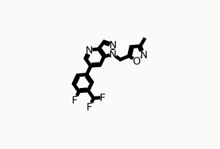 Cc1cc(Cn2ncc3ncc(-c4ccc(F)c(C(F)F)c4)cc32)on1